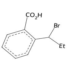 CCC(Br)c1ccccc1C(=O)O